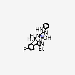 CCc1nn(/C(O)=C(\N)c2nc3ccccc3[nH]2)c(N)c1-c1ccc(F)cc1